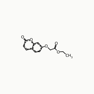 CCOC(=O)COc1ccc2ccc(=O)oc2c1